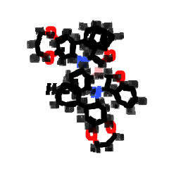 Cc1cc2c3c(c1)N(c1cc4c(cc1-c1ccccc1)OCCCO4)c1c(oc4ccccc14)B3c1oc3ccccc3c1N2c1cc2c(cc1-c1ccccc1)OCCCO2